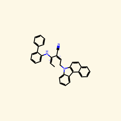 C/C=C(Nc1ccccc1-c1ccccc1)\C(C#N)=C/Cn1c2ccccc2c2c3ccccc3ccc21